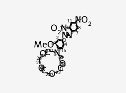 COc1cc(/N=N/c2ccc([N+](=O)[O-])cc2[N+](=O)[O-])ccc1N1CCOCCOCCOCCOCC1